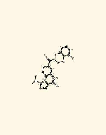 CC(C)c1ncc2c(=O)[nH]c3cc(C(=O)N4CCc5c(Cl)cccc5C4)ccc3n12